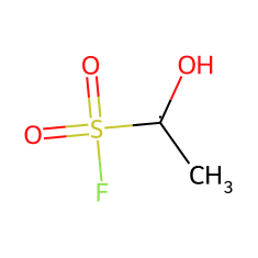 C[C](O)S(=O)(=O)F